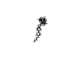 CCCCC[C@H]1CC[C@H]([C@H]2CC[C@H](OCCC[Si](OC(C)=O)(OC(C)=O)OC(C)=O)CC2)CC1